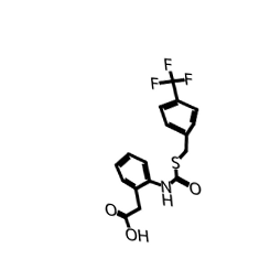 O=C(O)Cc1ccccc1NC(=O)SCc1ccc(C(F)(F)F)cc1